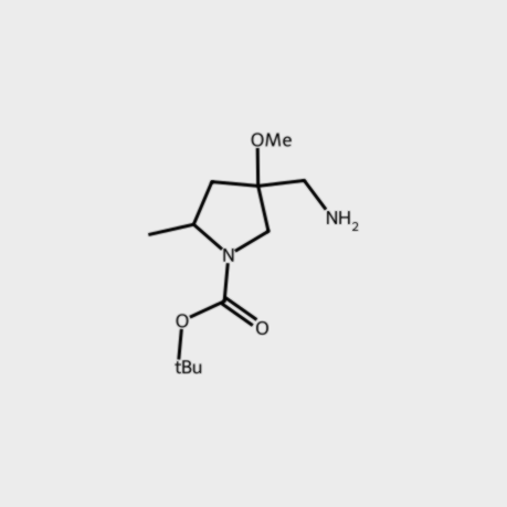 COC1(CN)CC(C)N(C(=O)OC(C)(C)C)C1